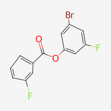 O=C(Oc1cc(F)cc(Br)c1)c1cccc(F)c1